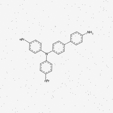 CCCc1ccc(N(c2ccc(CCC)cc2)c2ccc(-c3ccc(N)cc3)cc2)cc1